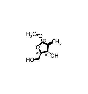 C=C1[C@@H](OC)O[C@H](CO)[C@H]1O